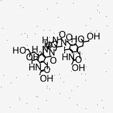 NC(=O)N(CC(O)CN(C(N)=O)C(=O)c1c(I)c(CC(O)CO)c(I)c(NC(=O)CO)c1I)C(=O)c1c(I)c(CC(O)CO)c(I)c(NC(=O)CO)c1I